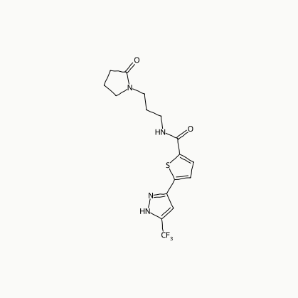 O=C(NCCCN1CCCC1=O)c1ccc(-c2cc(C(F)(F)F)[nH]n2)s1